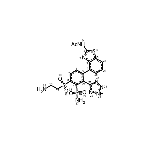 CC(=O)Nc1nc2c(-c3ccc(S(=O)(=O)CCN)c(S(N)(=O)=O)c3-c3nn[nH]n3)cccc2s1